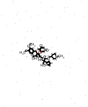 COc1ccc([C@H](Cc2c(Cl)c[n+]([O-])cc2Cl)c2cc(CNC(CO)(C(=O)OCC3CCN(C)CC3)c3cccs3)sc2C(=O)O)cc1OC